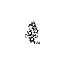 CCn1cc([C@H]2[C@@H](C(=O)Nc3cccc(C(C)(C)C)c3)CCCN2C(=O)c2c(C)cccc2F)cn1